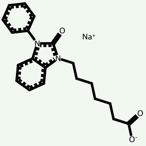 O=C([O-])CCCCCCn1c(=O)n(-c2ccccc2)c2ccccc21.[Na+]